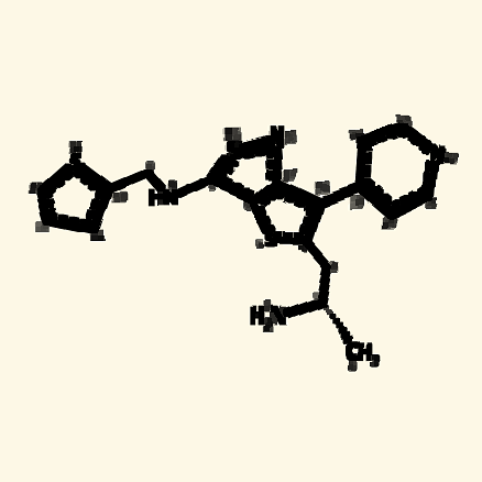 C[C@H](N)Cc1sc2c(NCc3cccs3)snc2c1-c1ccncc1